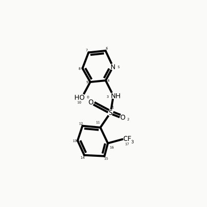 O=S(=O)(Nc1ncccc1O)c1ccccc1C(F)(F)F